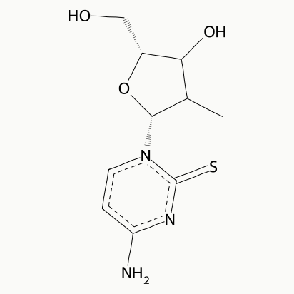 CC1C(O)[C@@H](CO)O[C@H]1n1ccc(N)nc1=S